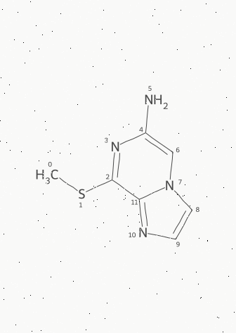 CSc1nc(N)cn2ccnc12